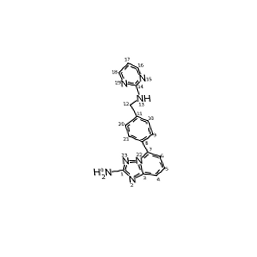 Nc1nc2cccc(-c3ccc(CNc4ncccn4)cc3)n2n1